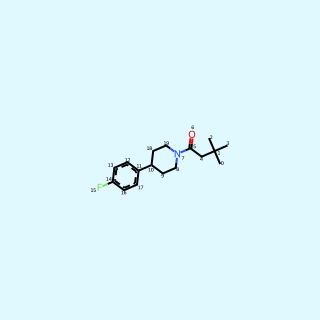 CC(C)(C)CC(=O)N1CCC(c2ccc(F)cc2)CC1